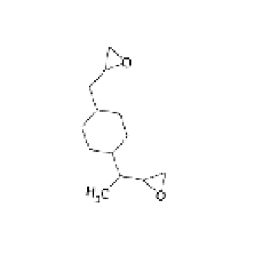 CC(C1CCC(CC2CO2)CC1)C1CO1